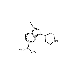 CON(C=O)c1ccc2c(c1)c(C1=CCNCC1)cn2C